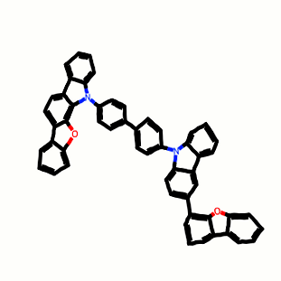 c1ccc2c(c1)oc1c(-c3ccc4c(c3)c3ccccc3n4-c3ccc(-c4ccc(-n5c6ccccc6c6ccc7c8ccccc8oc7c65)cc4)cc3)cccc12